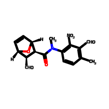 Cc1ccc(N(C)C(=O)[C@H]2[C@@H](C=O)[C@@H]3C=C[C@H]2O3)c([N+](=O)[O-])c1C=O